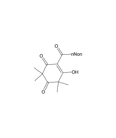 CCCCCCCCCC(=O)C1=C(O)C(C)(C)C(=O)C(C)(C)C1=O